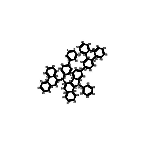 c1ccc(-c2ccc(N(c3cc4ccccc4c4ccccc34)c3cc4ccccc4c4c3c3ccc(-c5ccc6c7ccccc7c7ccccc7c6c5)cc3n4-c3ccccc3)cc2)cc1